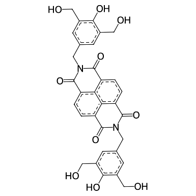 O=C1c2ccc3c4c(ccc(c24)C(=O)N1Cc1cc(CO)c(O)c(CO)c1)C(=O)N(Cc1cc(CO)c(O)c(CO)c1)C3=O